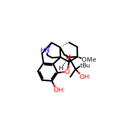 CO[C@]12CC[C@@]3(C[C@@H]1C(C)(O)C(C)(C)C)C1Cc4ccc(O)c5c4C3(CCN1)[C@H]2O5